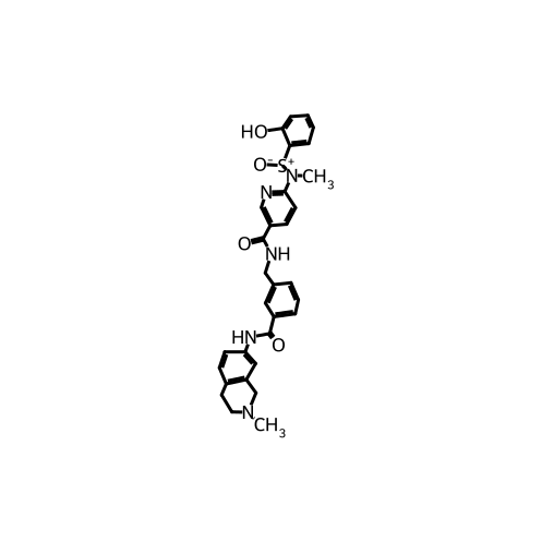 CN1CCc2ccc(NC(=O)c3cccc(CNC(=O)c4ccc(N(C)[S+]([O-])c5ccccc5O)nc4)c3)cc2C1